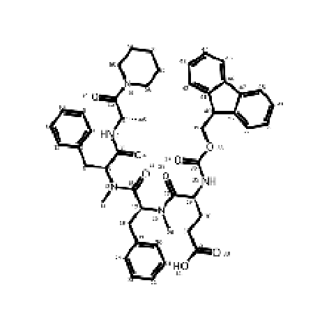 C[C@H](NC(=O)[C@H](Cc1ccccc1)N(C)C(=O)[C@H](Cc1ccccc1)N(C)C(=O)[C@H](CCC(=O)O)NC(=O)OCC1c2ccccc2-c2ccccc21)C(=O)N1CCCCC1